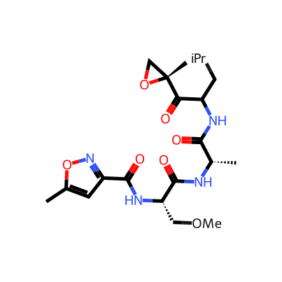 COC[C@H](NC(=O)c1cc(C)on1)C(=O)N[C@@H](C)C(=O)NC(CC(C)C)C(=O)[C@@]1(C)CO1